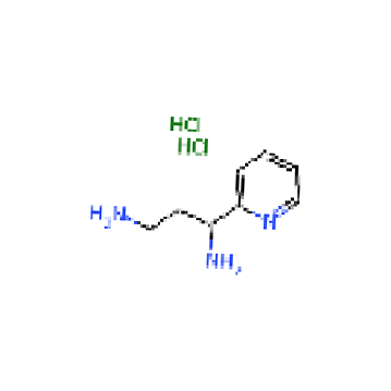 Cl.Cl.NCCC(N)c1ccccn1